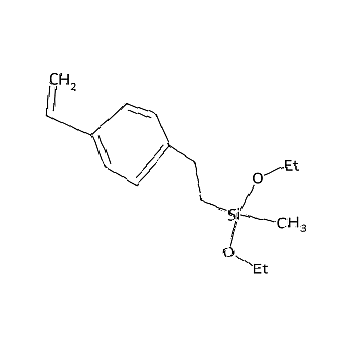 C=Cc1ccc(CC[Si](C)(OCC)OCC)cc1